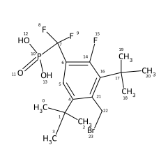 CC(C)(C)c1cc(C(F)(F)P(=O)(O)O)c(F)c(C(C)(C)C)c1CBr